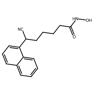 N#CC(CCCCC(=O)NO)c1cccc2ccccc12